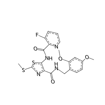 COc1ccc(CNC(=O)c2nc(SC)sc2NC(=O)c2ncccc2F)c(OC)c1